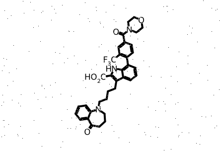 O=C1CCCN(CCCCc2c(C(=O)O)[nH]c3c(-c4ccc(C(=O)N5CCOCC5)cc4C(F)(F)F)cccc23)c2ccccc21